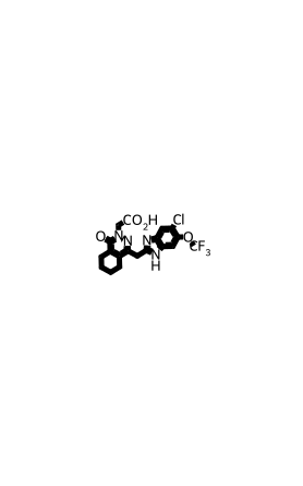 O=C(O)Cn1nc(Cc2nc3cc(Cl)c(OC(F)(F)F)cc3[nH]2)c2c(c1=O)CCCC2